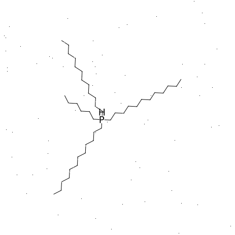 CCCCCCCCCCCC[PH](CCCCCC)(CCCCCCCCCCCC)CCCCCCCCCCCC